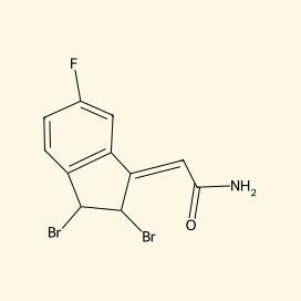 NC(=O)C=C1c2cc(F)ccc2C(Br)C1Br